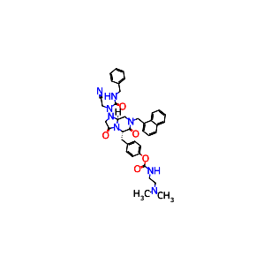 CN(C)CCNC(=O)Oc1ccc(C[C@H]2C(=O)N(Cc3cccc4ccccc34)C[C@H]3N2C(=O)CN3N(CC#N)C(=O)NCc2ccccc2)cc1